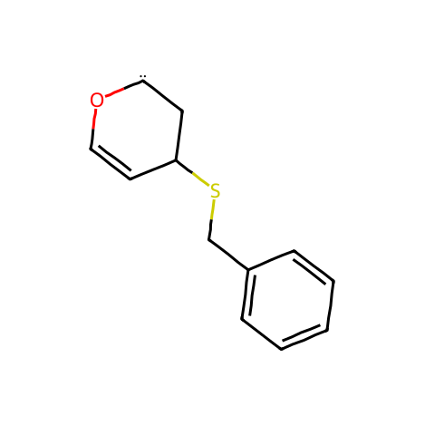 [C]1CC(SCc2ccccc2)C=CO1